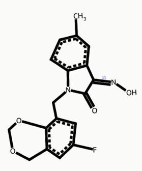 Cc1ccc2c(c1)/C(=N/O)C(=O)N2Cc1cc(F)cc2c1OCOC2